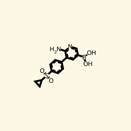 Nc1ncc(B(O)O)cc1-c1ccc(S(=O)(=O)C2CC2)cc1